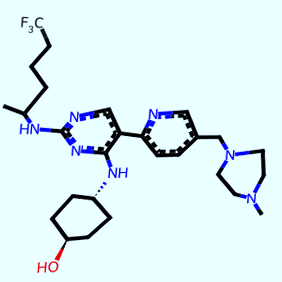 CC(CCCC(F)(F)F)Nc1ncc(-c2ccc(CN3CCN(C)CC3)cn2)c(N[C@H]2CC[C@H](O)CC2)n1